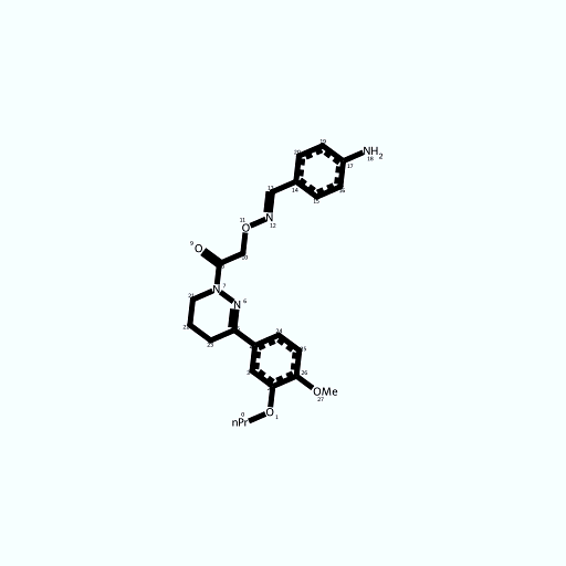 CCCOc1cc(C2=NN(C(=O)CON=Cc3ccc(N)cc3)CCC2)ccc1OC